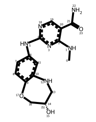 CNc1nc(Nc2ccc3c(c2)NC[C@H](O)CO3)ncc1C(N)=O